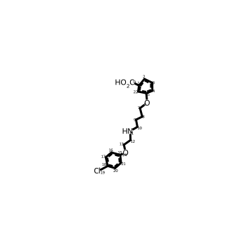 O=C(O)c1cccc(OCCCCNCCOc2ccc(Cl)cc2)c1